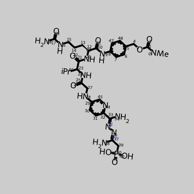 CNC(=O)OCc1ccc(NC(=O)[C@H](CCCNC(N)=O)NC(=O)C(NC(=O)CNc2ccc(/C(N)=N/N=C(\N)CP(=O)(O)O)nc2)C(C)C)cc1